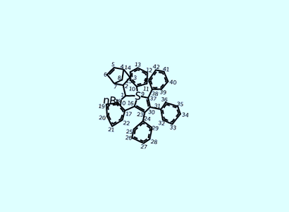 CCCCC(C1CC2C=CC1C2)S1(c2ccccc2)C(c2ccccc2)=C(c2ccccc2)C(c2ccccc2)=C1c1ccccc1